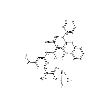 COc1cc(Nc2ncnc(N(Cc3ccccc3)Cc3ccccc3)c2[N+](=O)[O-])cc(N(C)C(=O)OC(C)(C)C)c1